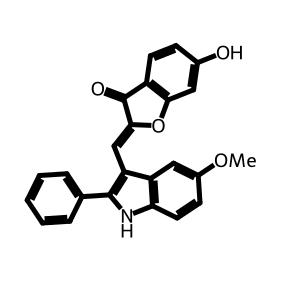 COc1ccc2[nH]c(-c3ccccc3)c(/C=C3\Oc4cc(O)ccc4C3=O)c2c1